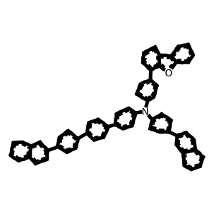 c1ccc2cc(-c3ccc(-c4ccc(-c5ccc(N(c6ccc(-c7ccc8ccccc8c7)cc6)c6ccc(-c7cccc8c7oc7ccccc78)cc6)cc5)cc4)cc3)ccc2c1